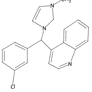 CN1C=CN(C(c2cccc(Cl)c2)c2ccnc3ccccc23)C1